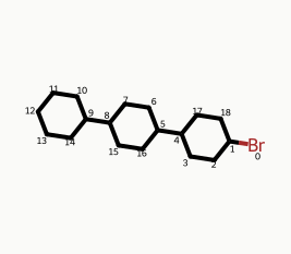 BrC1CCC(C2CCC(C3CCCCC3)CC2)CC1